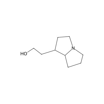 OCCC1CCN2CCCC12